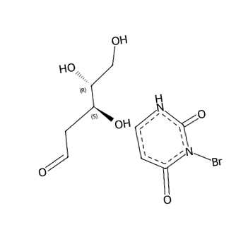 O=CC[C@H](O)[C@H](O)CO.O=c1cc[nH]c(=O)n1Br